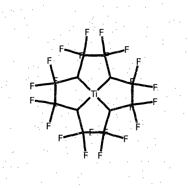 FC(F)(F)[CH](C(F)(F)F)[Ti]([CH](C(F)(F)F)C(F)(F)F)([CH](C(F)(F)F)C(F)(F)F)[CH](C(F)(F)F)C(F)(F)F